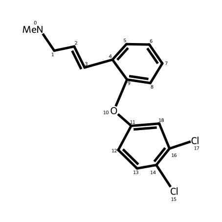 CNCC=Cc1ccccc1Oc1ccc(Cl)c(Cl)c1